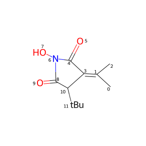 CC(C)=C1C(=O)N(O)C(=O)C1C(C)(C)C